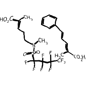 CC(=CC=Cc1ccccc1)C(=O)O.CC(=CCCN(C)S(=O)(=O)C(F)(F)C(F)(F)C(F)(F)C(F)(F)F)C(=O)O